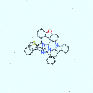 c1ccc(-c2nc(-c3ccccc3)nc(-c3c(-n4c5ccccc5c5ccccc54)ccc4oc5cccc(-c6cccc7c6sc6ccccc67)c5c34)n2)cc1